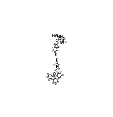 CC(CCc1nc2ccc(C#CC#CC3CN(CCCOC(c4ccccc4)(c4ccccc4)c4ccccc4)C3)cc2s1)(C(=O)NO)S(C)(=O)=O